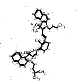 CCCC[N+]1=C(/C=C/C2=C(Cl)C(=C/C=C3/N(CCC(C)C)c4ccc5ccccc5c4C3(C)C)/CCC2)C(C)(C)c2c1ccc1ccccc21